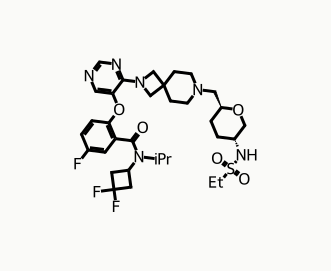 CCS(=O)(=O)N[C@@H]1CC[C@@H](CN2CCC3(CC2)CN(c2ncncc2Oc2ccc(F)cc2C(=O)N(C(C)C)C2CC(F)(F)C2)C3)OC1